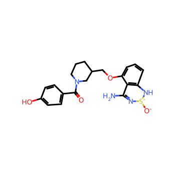 NC1=N[S+]([O-])Nc2cccc(OCC3CCCN(C(=O)c4ccc(O)cc4)C3)c21